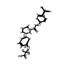 CC(C)c1ccc(OCC(=O)N2CCC[C@@H](c3cccc(OC(C)(C)C(=O)O)c3)C2)cc1